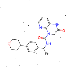 CCC(NC(=O)N1CC(=O)Nc2cccnc21)c1ccc(C2CCOCC2)cc1